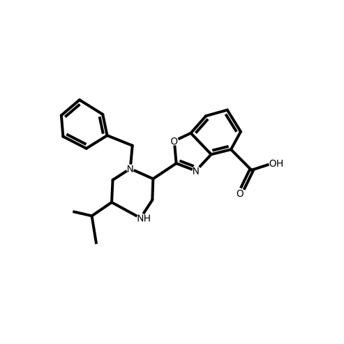 CC(C)C1CN(Cc2ccccc2)C(c2nc3c(C(=O)O)cccc3o2)CN1